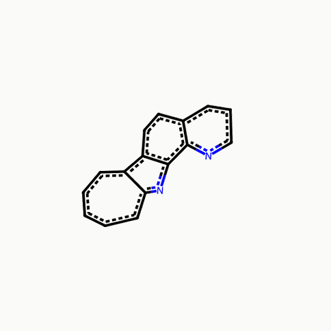 c1ccc2nc3c(ccc4cccnc43)c-2cc1